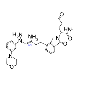 CNC(=O)C(CCC=O)N1Cc2c(CC/C(N)=C/N(N)c3cccc(N4CCOCC4)c3)cccc2C1=O